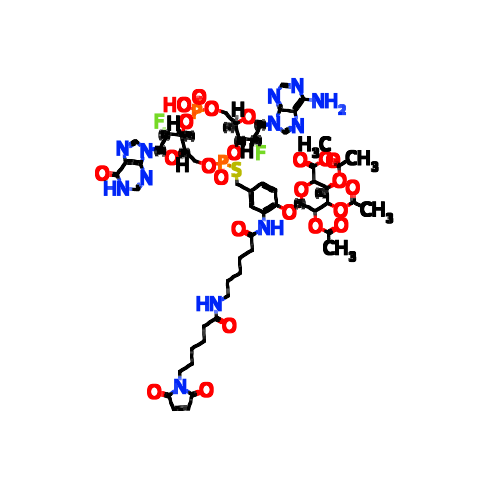 COC(=O)C1O[C@@H](Oc2ccc(CSP3(=O)OC[C@H]4O[C@@H](n5cnc6c(=O)[nH]cnc65)[C@H](F)[C@@H]4OP(=O)(O)OC[C@H]4O[C@@H](n5cnc6c(N)ncnc65)[C@H](F)[C@@H]4O3)cc2NC(=O)CCCCCNC(=O)CCCCCN2C(=O)C=CC2=O)C(OC(C)=O)C(OC(C)=O)[C@@H]1OC(C)=O